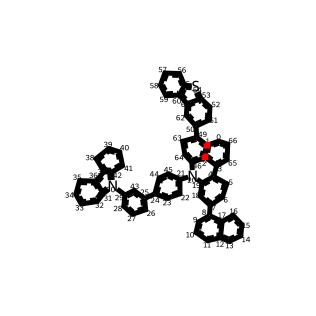 c1ccc(-c2ccc(-c3cccc4ccccc34)cc2N(c2ccc(-c3cccc(-n4c5ccccc5c5ccccc54)c3)cc2)c2ccc(-c3ccc4sc5ccccc5c4c3)cc2)cc1